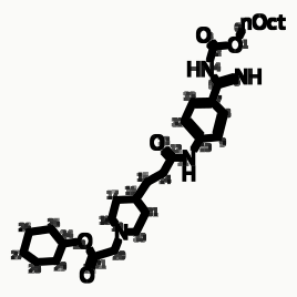 CCCCCCCCOC(=O)NC(=N)c1ccc(NC(=O)CCC2CCN(CC(=O)OC3CCCCC3)CC2)cc1